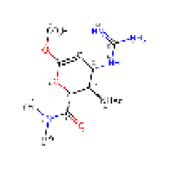 CCCN(CCC)C(=O)[C@@H]1OC(OC(=O)O)=C[C@H](NC(=N)N)[C@H]1NC(C)=O